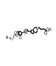 CC(C)Oc1ccc(-c2ncc(-c3ccc4c(c3)CCN(CCCC(=O)O)CC4)s2)cc1Cl